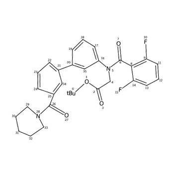 CC(C)(C)OC(=O)CN(C(=O)c1c(F)cccc1F)c1cccc(-c2cccc(C(=O)N3CCCCC3)c2)c1